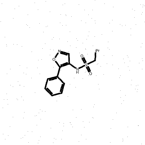 CC(C)CS(=O)(=O)Nc1cnoc1-c1ccccc1